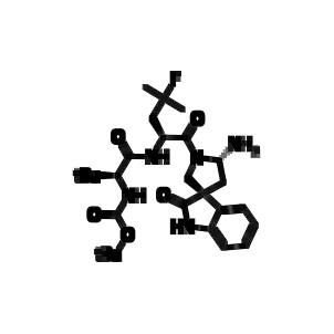 CC(C)(F)C[C@H](NC(=O)[C@@H](NC(=O)OC(C)(C)C)C(C)(C)C)C(=O)N1C[C@]2(C[C@H]1N)C(=O)Nc1ccccc12